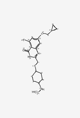 O=C(O)NC1CCC(SCc2nc3cc(OCC4CC4)cc(F)c3c(=O)[nH]2)CC1